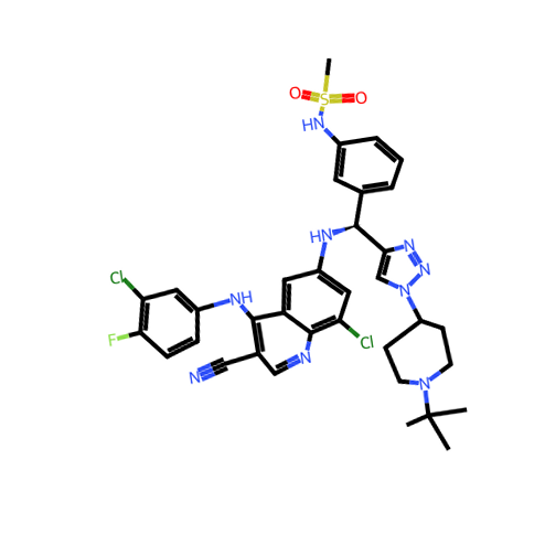 CC(C)(C)N1CCC(n2cc([C@@H](Nc3cc(Cl)c4ncc(C#N)c(Nc5ccc(F)c(Cl)c5)c4c3)c3cccc(NS(C)(=O)=O)c3)nn2)CC1